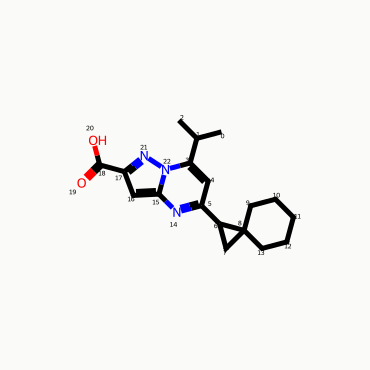 CC(C)c1cc(C2CC23CCCCC3)nc2cc(C(=O)O)nn12